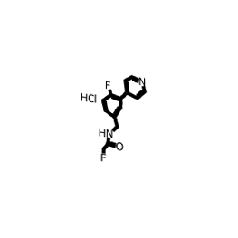 Cl.O=C(CF)NCc1ccc(F)c(-c2ccncc2)c1